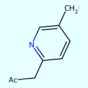 [CH2]c1ccc(CC(C)=O)nc1